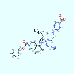 CC(C)C1CN(c2cnc(C(=O)[O-])cn2)CCN1/C(=N\C#N)Nc1cccc2c1CCN(C(=O)OCc1ccccc1)C2.[Li+]